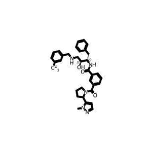 Cn1nccc1C1CCCN1C(=O)c1cccc(C(=O)N[C@@H](Cc2ccccc2)[C@@H](O)CNCc2cccc(C(F)(F)F)c2)c1